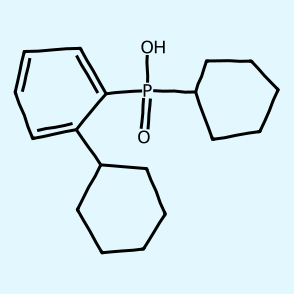 O=P(O)(c1ccccc1C1CCCCC1)C1CCCCC1